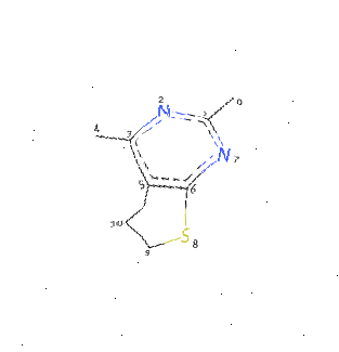 Cc1nc(C)c2c(n1)SCC2